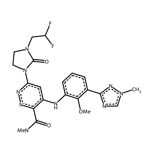 CNC(=O)c1nnc(N2CCN(CC(F)F)C2=O)cc1Nc1cccc(-c2ncn(C)n2)c1OC